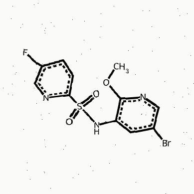 COc1ncc(Br)cc1NS(=O)(=O)c1ccc(F)cn1